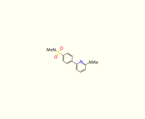 CNc1cccc(-c2ccc(S(=O)(=O)NC)cc2)n1